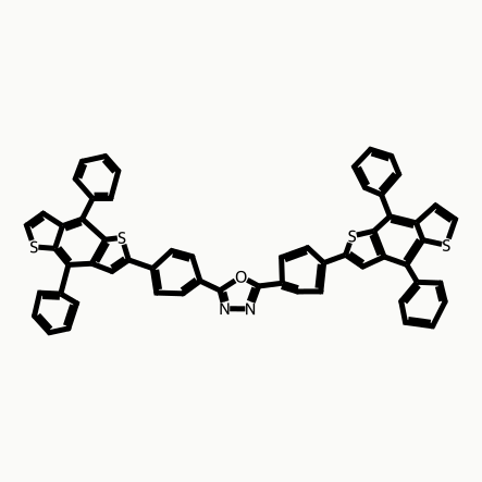 c1ccc(-c2c3cc(-c4ccc(-c5nnc(-c6ccc(-c7cc8c(-c9ccccc9)c9sccc9c(-c9ccccc9)c8s7)cc6)o5)cc4)sc3c(-c3ccccc3)c3ccsc23)cc1